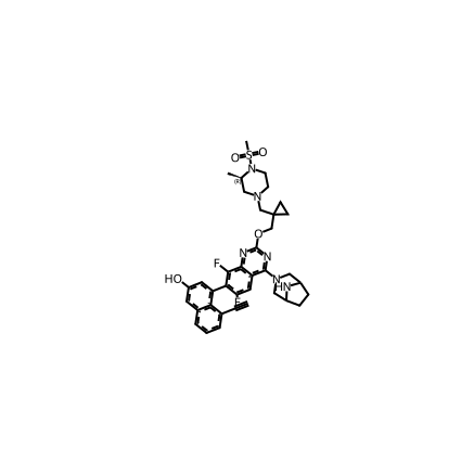 C#Cc1cccc2cc(O)cc(-c3c(F)cc4c(N5CC6CCC(C5)N6)nc(OCC5(CN6CCN(S(C)(=O)=O)[C@H](C)C6)CC5)nc4c3F)c12